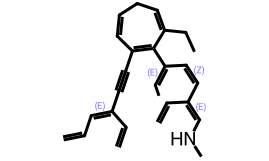 C=C/C=C(/C#CC1=C(C(/C=C\C(C=C)=C\NC)=C/C)C(CC)=CCC=C1)C=C